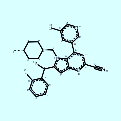 C[C@H]1CC[C@H](Cn2c(C(F)c3ccccc3F)cc3nc(C#N)nc(-c4cncc(Cl)c4)c32)CC1